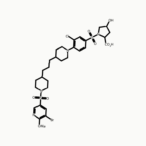 COc1ncc(S(=O)(=O)N2CCC(CCCC3CCN(c4ccc(S(=O)(=O)N5CC(O)CC5C(=O)O)cc4Cl)CC3)CC2)cc1Br